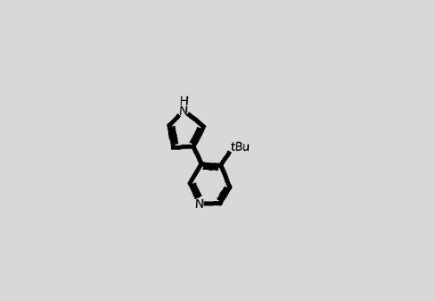 CC(C)(C)c1ccncc1-c1cc[nH]c1